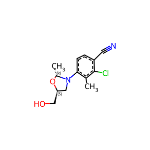 Cc1c(N2C[C@@H](CO)O[C@@H]2C)ccc(C#N)c1Cl